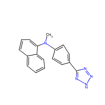 CN(c1ccc(-c2nn[nH]n2)cc1)c1cccc2ccccc12